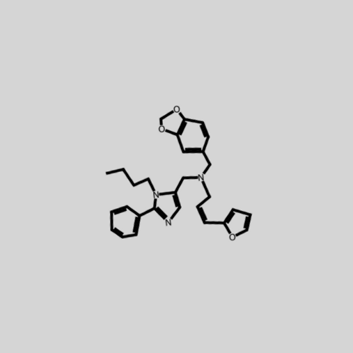 CCCCn1c(CN(C/C=C\c2ccco2)Cc2ccc3c(c2)OCO3)cnc1-c1ccccc1